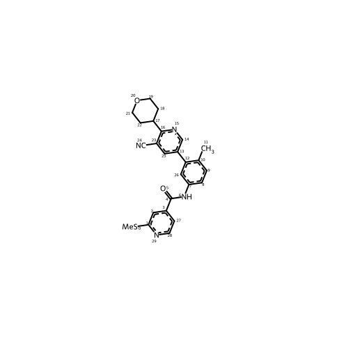 CSc1cc(C(=O)Nc2ccc(C)c(-c3cnc(C4CCOCC4)c(C#N)c3)c2)ccn1